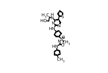 Cc1ccc(NC(=O)N=S(C)(=O)c2ccc(Nc3ncc(-c4cccs4)c(N[C@H](C)CO)n3)cc2)cc1